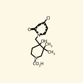 CC1(C)CN(C(=O)O)CCC1(O)Cn1ccc(Cl)cc1=O